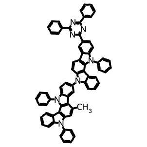 Cc1cc2c(c3ccccc3n2-c2ccccc2)c2c1c1cc(-n3c4ccccc4c4c3ccc3c5cc(-c6nc(-c7ccccc7)nc(-c7ccccc7)n6)ccc5n(-c5ccccc5)c34)ccc1n2-c1ccccc1